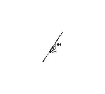 CCCCCCCCCCCCCC(O)CCC[S+]([O-])CCCC(O)CCCCCCCCCCCCC